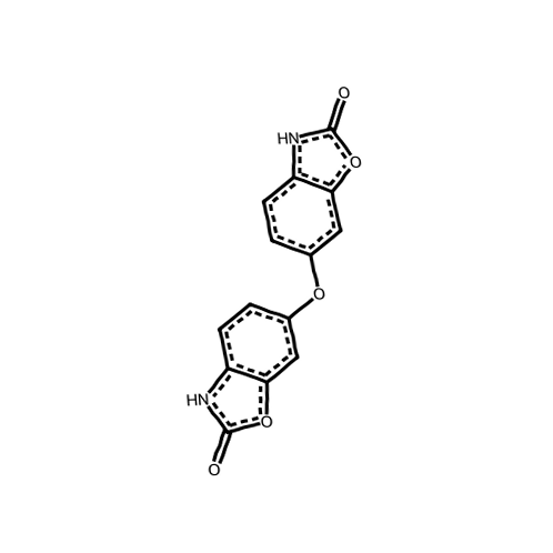 O=c1[nH]c2ccc(Oc3ccc4[nH]c(=O)oc4c3)cc2o1